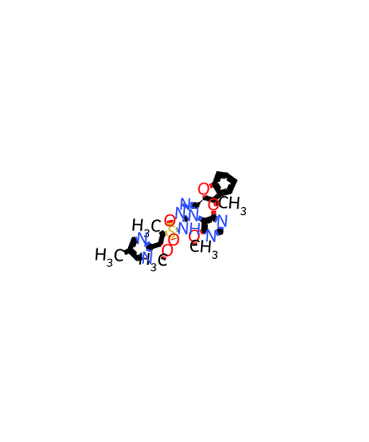 COc1ncnc(OC)c1-n1c(NS(=O)(=O)C(C)C(OC)c2ncc(C)cn2)nnc1[C@H]1Cc2ccccc2O1